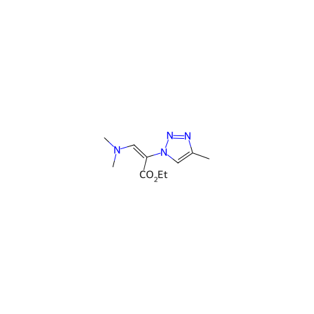 CCOC(=O)/C(=C\N(C)C)n1cc(C)nn1